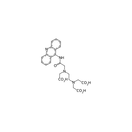 O=C(O)CN(CCN(CC(=O)O)CC(=O)Nc1c2ccccc2nc2ccccc12)CC(=O)O